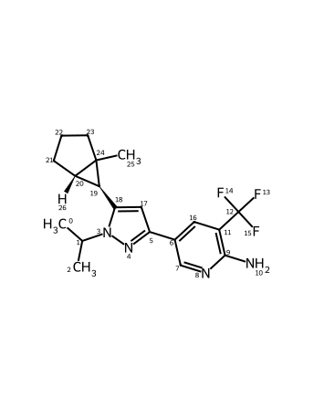 CC(C)n1nc(-c2cnc(N)c(C(F)(F)F)c2)cc1[C@H]1[C@@H]2CCCC21C